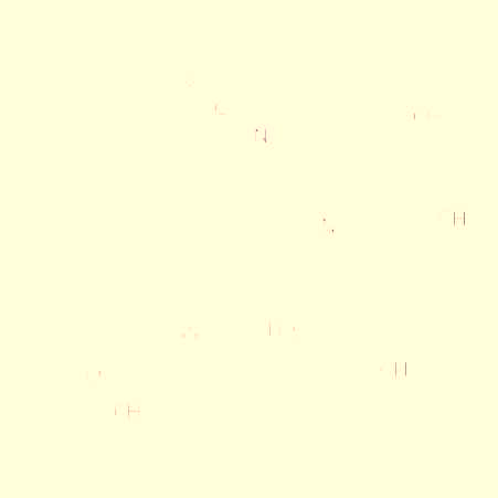 COC(=O)C1(c2ccc(N(CC(C)C)CC(C)C)c(N=C=S)c2)CCCC1